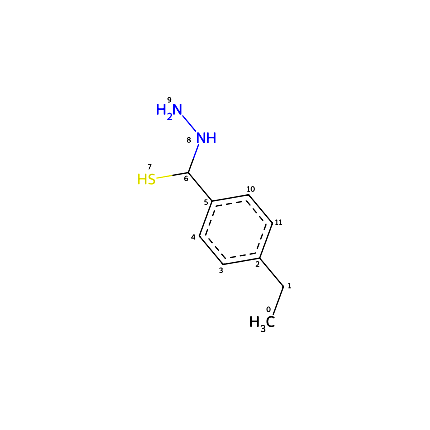 CCc1ccc(C(S)NN)cc1